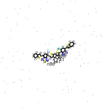 CCCCC(CC)CC1(CC(CC)CCCC)c2cc(-c3c(F)cc(-c4cc5ccccc5s4)c4nsnc34)sc2-c2sc(-c3c(F)cc(-c4cc5ccccc5s4)c4nsnc34)cc21